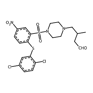 CC(CC=O)CN1CCN(S(=O)(=O)c2cc([N+](=O)[O-])ccc2Sc2cc(Cl)ccc2Cl)CC1